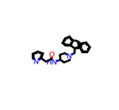 O=C(Cc1ccccn1)NC1CCN(CC23CC(c4ccccc42)c2ccccc23)CC1